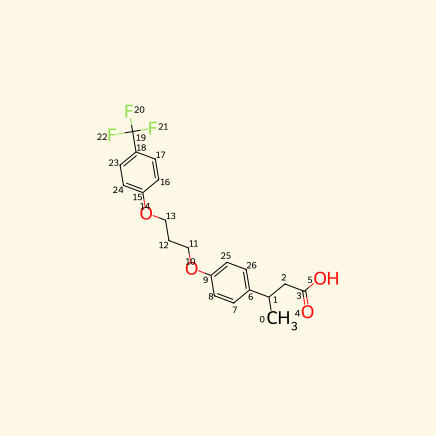 CC(CC(=O)O)c1ccc(OCCCOc2ccc(C(F)(F)F)cc2)cc1